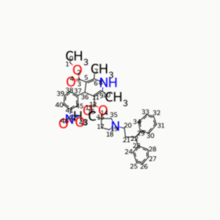 CCOC(=O)C1=C(C)NC(C)=C(C(=O)OC2(C)CCN(CCC(c3ccccc3)c3ccccc3)C2)C1c1cccc([N+](=O)[O-])c1